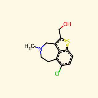 CN1CCc2c(Cl)ccc3sc(CO)c(c23)C1